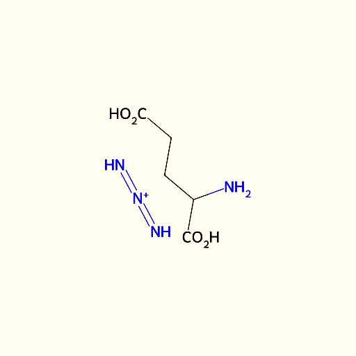 N=[N+]=N.NC(CCC(=O)O)C(=O)O